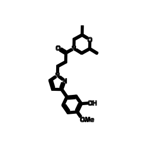 COc1ccc(-c2ccn(CCC(=O)N3CC(C)OC(C)C3)n2)cc1O